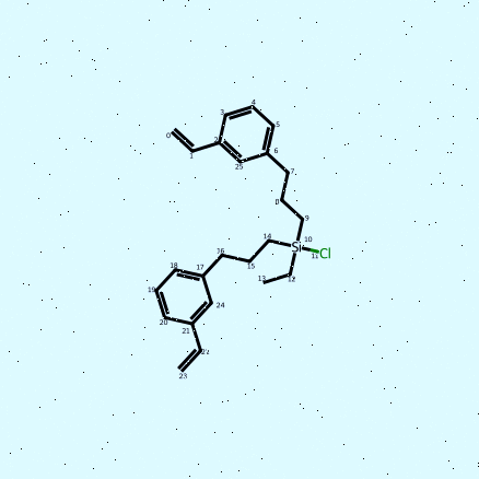 C=Cc1cccc(CCC[Si](Cl)(CC)CCCc2cccc(C=C)c2)c1